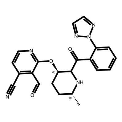 C[C@@H]1CC[C@@H](Oc2nccc(C#N)c2C=O)C(C(=O)c2ccccc2-n2nccn2)N1